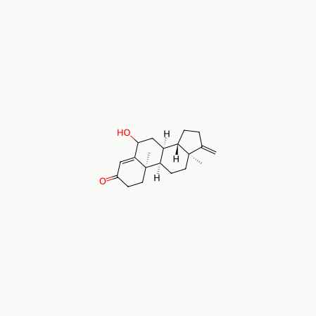 C=C1CC[C@H]2[C@@H]3CC(O)C4=CC(=O)CC[C@]4(C)[C@@H]3CC[C@]12C